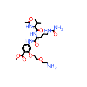 COC(=O)c1ccc(NC(=O)[C@H](CCCNC(N)=O)NC(=O)[C@@H](NC(C)=O)C(C)C)cc1OCCOCCN